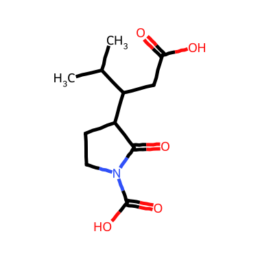 CC(C)C(CC(=O)O)C1CCN(C(=O)O)C1=O